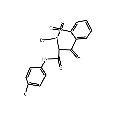 CCN1C(C(=O)Nc2ccc(Cl)cc2)C(=O)c2ccccc2S1(=O)=O